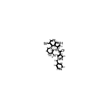 N[C@@H]1CCCN(c2c(Br)cnc3[nH]cc(NC(=O)c4cnn(Cc5ccncc5)c4)c23)C1